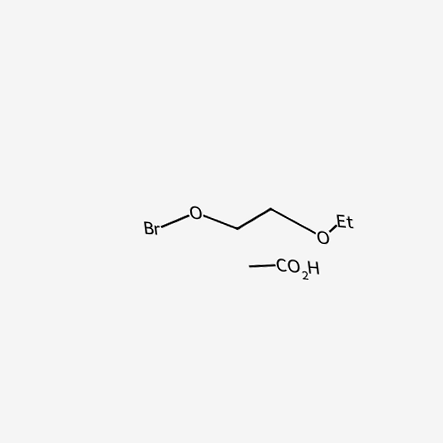 CC(=O)O.CCOCCOBr